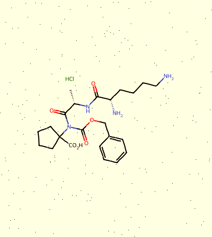 C[C@H](NC(=O)[C@@H](N)CCCCN)C(=O)N(C(=O)OCc1ccccc1)C1(C(=O)O)CCCC1.Cl